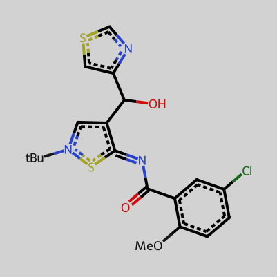 COc1ccc(Cl)cc1C(=O)N=c1sn(C(C)(C)C)cc1C(O)c1cscn1